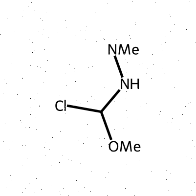 CNNC(Cl)OC